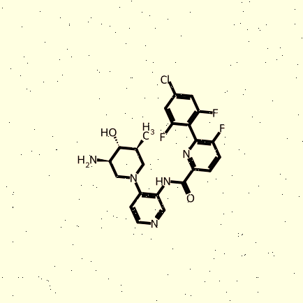 C[C@H]1CN(c2ccncc2NC(=O)c2ccc(F)c(-c3c(F)cc(Cl)cc3F)n2)C[C@@H](N)[C@@H]1O